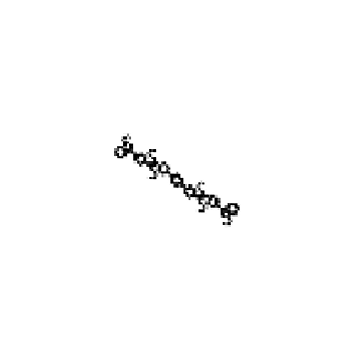 c1ccc2c(-c3ccc4c(c3)sc3c5ccc(-c6ccc(-c7ccc8c(c7)sc7c9ccc(-c%10csc%11ccccc%10%11)cc9sc87)cc6)cc5sc43)csc2c1